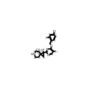 O=C(O)C1(c2ncc(F)c(OCc3ccc(Cl)cc3F)n2)CC12CCNCC2